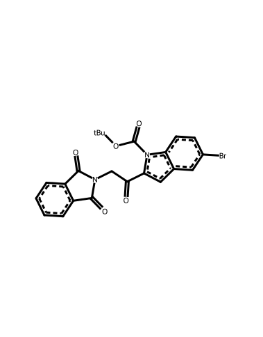 CC(C)(C)OC(=O)n1c(C(=O)CN2C(=O)c3ccccc3C2=O)cc2cc(Br)ccc21